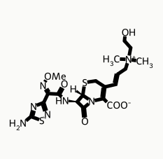 CO/N=C(\C(=O)N[C@@H]1C(=O)N2C(C(=O)[O-])=C(/C=C/C[N+](C)(C)CCO)CS[C@@H]12)c1nsc(N)n1